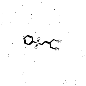 CC(C)CC(=CCS(=O)(=O)c1ccccc1)CC(C)C